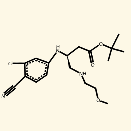 COCCNC[C@H](CC(=O)OC(C)(C)C)Nc1ccc(C#N)c(Cl)c1